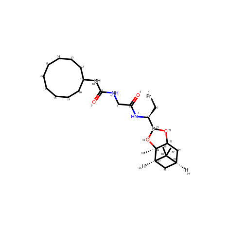 CC(C)C[C@H](NC(=O)CNC(=O)BC1CCCCCCCCC1)B1OC2C[C@H]3C[C@H](C3(C)C)[C@@]2(C)O1